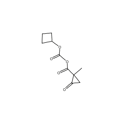 CC1(C(=O)OC(=O)OC2CCC2)CC1=O